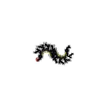 CCCCC(CC)Cc1cc(-c2ccc(CC3CC3)cc2)sc1-c1cc(CC(CC)CCCC)c(-c2cc(CC(CC)CCCC)c(-c3cc(CC(CC)CCCC)c(-c4sc5cccc6c7c(-c8sc(-c9sc(-c%10sc(-c%11sc(-c%12ccc(CC%13CO%13)cc%12)cc%11CC(CC)CCCC)cc%10CC(CC)CCCC)cc9CC(CC)CCCC)cc8CC(CC)CCCC)sc8cccc(c4c56)c87)s3)s2)s1